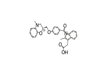 Cc1c(CC(=O)O)c2ccccc2n1C(=O)c1ccc(OC[C@@H]2CN(C)c3ccccc3O2)cc1